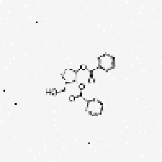 O=C(O[C@@H]1[C@@H](CO)CC[C@H]1OC(=O)c1ccccc1)c1ccccc1